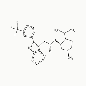 CC(C)C1CC[C@@H](C)C[C@H]1OC(=O)Cn1c(-c2cccc(C(F)(F)F)c2)nc2ccccc21